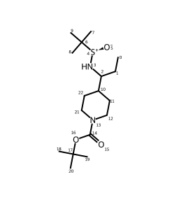 CCC(N[S@+]([O-])C(C)(C)C)C1CCN(C(=O)OC(C)(C)C)CC1